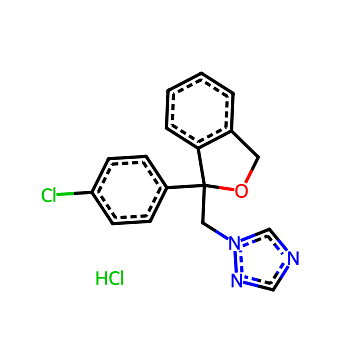 Cl.Clc1ccc(C2(Cn3cncn3)OCc3ccccc32)cc1